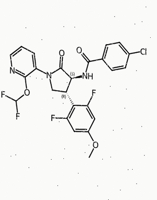 COc1cc(F)c([C@@H]2CN(c3cccnc3OC(F)F)C(=O)[C@H]2NC(=O)c2ccc(Cl)cc2)c(F)c1